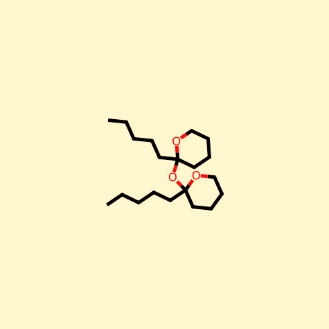 CCCCCC1(OC2(CCCCC)CCCCO2)CCCCO1